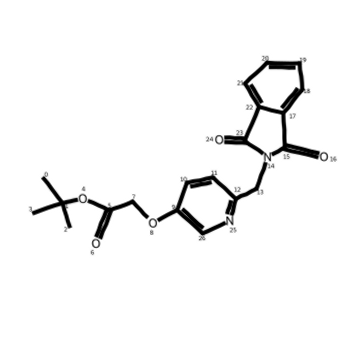 CC(C)(C)OC(=O)COc1ccc(CN2C(=O)c3ccccc3C2=O)nc1